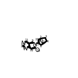 CN1C2CCC1CC(n1cc3cncnc3cc1=O)C2